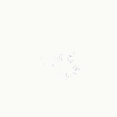 C=C1NC(=O)c2cc(F)cc(n2)CNC(=O)C[C@@H](/C=C/CCSC(C)=O)OC(=O)[C@H](C)NC1=O